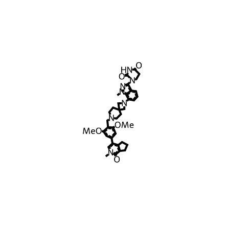 COc1cc(-c2cn(C)c(=O)c3c2CCC3)cc(OC)c1CN1CCC2(CC1)CN(c1cccc3c(N4CCC(=O)NC4=O)nn(C)c13)C2